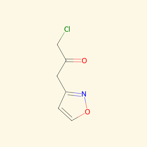 O=C(CCl)Cc1ccon1